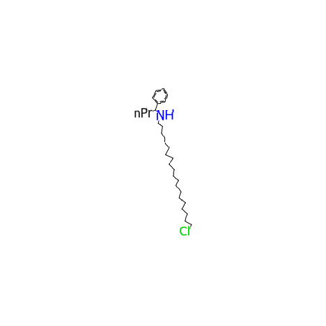 CCCC(NCCCCCCCCCCCCCCCCCCCCCl)c1ccccc1